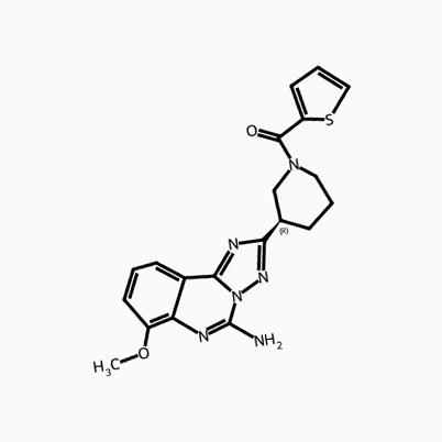 COc1cccc2c1nc(N)n1nc([C@@H]3CCCN(C(=O)c4cccs4)C3)nc21